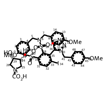 COc1ccc(CN(Cc2ccc(OC)cc2)S(=O)(=O)c2c(S(=O)(=O)N[C@@H]3CN(C(=O)O)C[C@@H]3O)ccc(I)c2-c2cnnn2Cc2ccc(OC)cc2)cc1